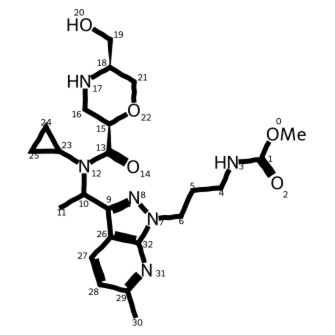 COC(=O)NCCCn1nc(C(C)N(C(=O)[C@H]2CN[C@@H](CO)CO2)C2CC2)c2ccc(C)nc21